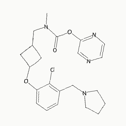 CN(CC1CC(Oc2cccc(CN3CCCC3)c2Cl)C1)C(=O)Oc1cnccn1